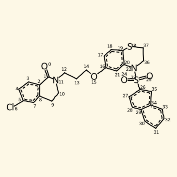 O=C1c2ccc(Cl)cc2CCN1CCCOc1ccc2c(c1)N(S(=O)(=O)c1ccc3ccccc3c1)CCS2